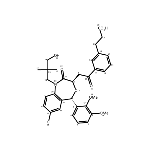 COc1cccc([C@H]2O[C@H](CC(=O)c3cccc(CCC(=O)O)c3)C(=O)N(CC(C)(C)CO)c3ccc(Cl)cc32)c1OC